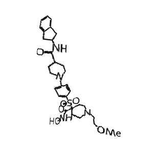 COCCN1CCC(C(=O)NO)(S(=O)(=O)c2ccc(N3CCC(C(=O)NC4Cc5ccccc5C4)CC3)cc2)CC1